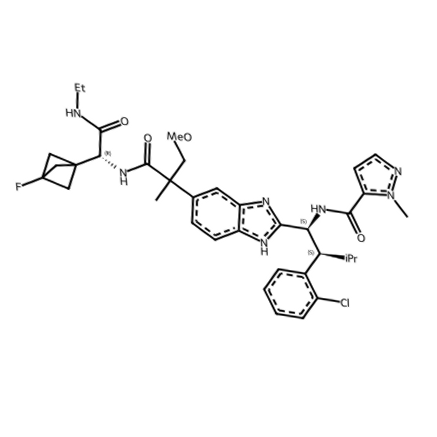 CCNC(=O)[C@H](NC(=O)C(C)(COC)c1ccc2[nH]c([C@@H](NC(=O)c3ccnn3C)[C@H](c3ccccc3Cl)C(C)C)nc2c1)C12CC(F)(C1)C2